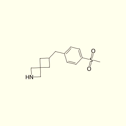 CS(=O)(=O)c1ccc(CC2CC3(CNC3)C2)cc1